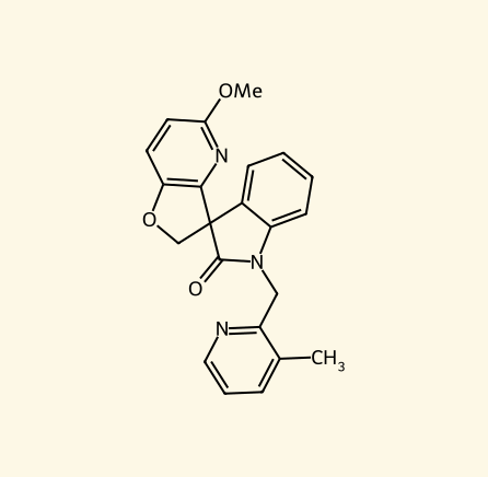 COc1ccc2c(n1)C1(CO2)C(=O)N(Cc2ncccc2C)c2ccccc21